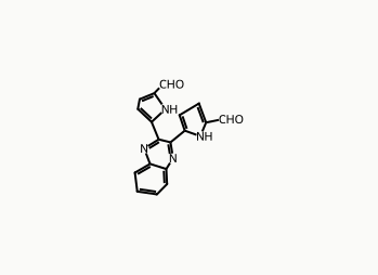 O=Cc1ccc(-c2nc3ccccc3nc2-c2ccc(C=O)[nH]2)[nH]1